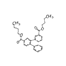 CCCCOC(=O)c1cccc(-c2cc(C(=O)OCCCC)ccc2-c2ccccc2)c1